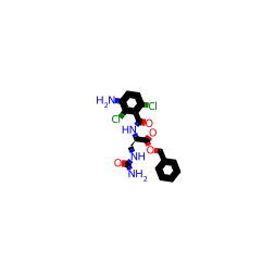 NC(=O)NC[C@H](NC(=O)c1c(Cl)ccc(N)c1Cl)C(=O)OCc1ccccc1